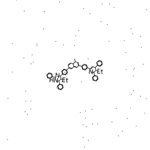 CCC1C(c2ccccc2)=NC(c2ccc(C3=CC(C)C4C=CC(c5ccc(C6N=C(c7ccccc7)NC(c7ccccc7)C6CC)cc5)=CC4=C3)cc2)=CC1c1ccccc1